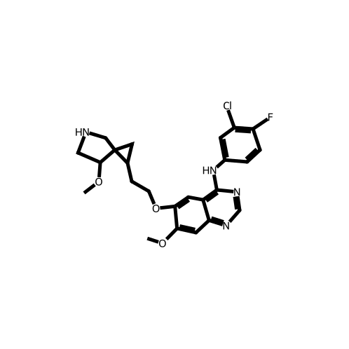 COc1cc2ncnc(Nc3ccc(F)c(Cl)c3)c2cc1OCCC1CC12CNCC2OC